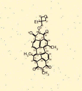 CCC1(CON2C(=O)c3ccc4c5c(C)cc6c7c(ccc(c8c(C)cc(c3c48)C2=O)c75)C(=O)N(C)C6=O)COC1